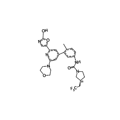 Cc1ccc(NC(=O)N2CC[C@@H](CC(F)(F)F)C2)cc1-c1cc(-c2cnc(O)o2)nc(N2CCOCC2)c1